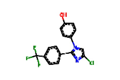 Oc1ccc(-n2cc(Cl)nc2-c2ccc(C(F)(F)F)cc2)cc1